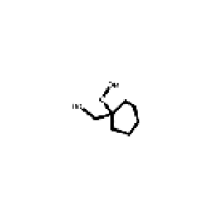 OCC1(OO)CCCCC1